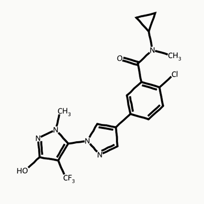 CN(C(=O)c1cc(-c2cnn(-c3c(C(F)(F)F)c(O)nn3C)c2)ccc1Cl)C1CC1